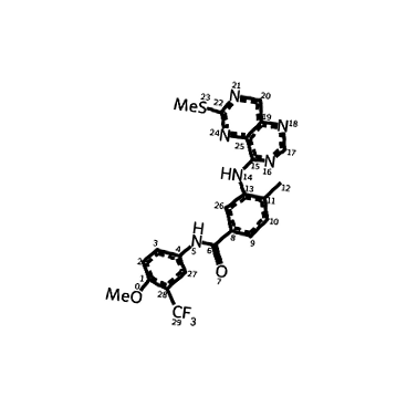 COc1ccc(NC(=O)c2ccc(C)c(Nc3ncnc4cnc(SC)nc34)c2)cc1C(F)(F)F